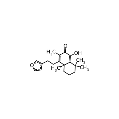 CC1=C(CCc2ccoc2)[C@@]2(C)CCCC(C)(C)C2=C(O)C1=O